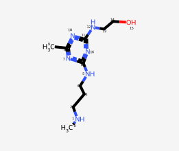 CNCCCNc1nc(C)nc(NCCO)n1